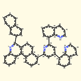 c1ccc2cc(-c3nc4ccccc4c4c3ccc3c(-c5cc(-c6cccc7cccnc67)cc(-c6cccc7cccnc67)n5)cccc34)ccc2c1